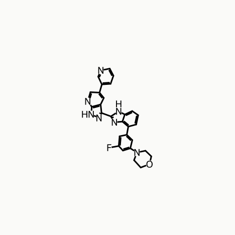 Fc1cc(-c2cccc3[nH]c(-c4n[nH]c5ncc(-c6cccnc6)cc45)nc23)cc(N2CCOCC2)c1